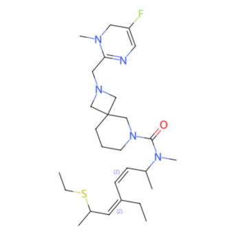 CCSC(C)/C=C(\C=C/C(C)N(C)C(=O)N1CCCC2(CN(CC3=NC=C(F)CN3C)C2)C1)CC